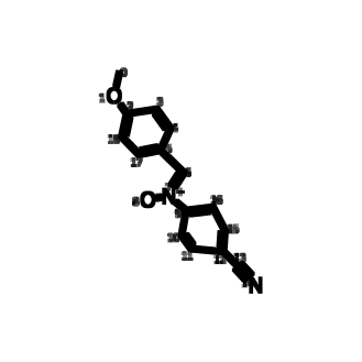 COc1ccc(C=[N+]([O-])c2ccc(C#N)cc2)cc1